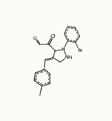 Cc1ccc(/C=C2\CNN(c3ccccc3Br)C2C(=O)C=O)cc1